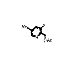 CC(=O)OCc1ncc(Br)cc1F